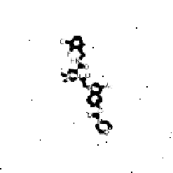 CC(=O)c1cn(CC(=O)N2C[Si](C)(C)C[C@H]2C(=O)NCc2cccc(Cl)c2F)c2ccc(OC(=O)N3CCOCC3)cc12